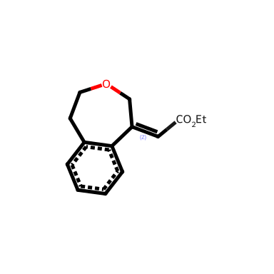 CCOC(=O)/C=C1\COCCc2ccccc21